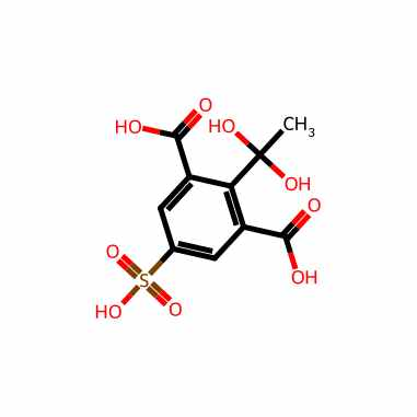 CC(O)(O)c1c(C(=O)O)cc(S(=O)(=O)O)cc1C(=O)O